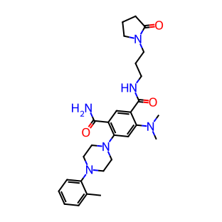 Cc1ccccc1N1CCN(c2cc(N(C)C)c(C(=O)NCCCN3CCCC3=O)cc2C(N)=O)CC1